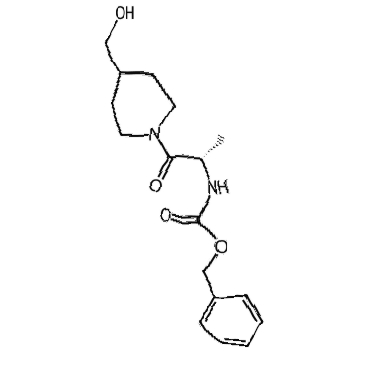 C[C@H](NC(=O)OCc1ccccc1)C(=O)N1CCC(CO)CC1